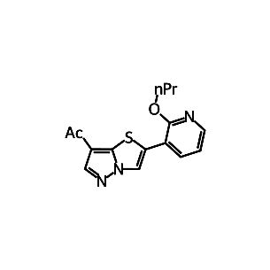 CCCOc1ncccc1-c1cn2ncc(C(C)=O)c2s1